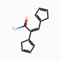 NC(=O)C(=CC1=CC=CC1)C1=CC=CC1